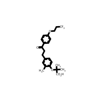 Cc1cc(CCC(=O)c2ccc(OCCC(F)(F)F)cc2)ccc1OC(C)(C)C(=O)O